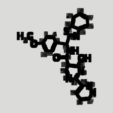 COc1ccc(C(NC(=O)c2cnc(-c3cccnn3)nc2O)c2nc3ccccc3s2)cc1